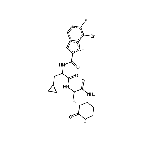 NC(=O)C(C[C@@H]1CCCNC1=O)NC(=O)C(CC1CC1)NC(=O)c1cc2ccc(F)c(Br)c2[nH]1